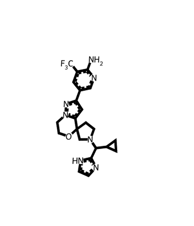 Nc1ncc(-c2cc3n(n2)CCOC32CCN(C(c3ncc[nH]3)C3CC3)C2)cc1C(F)(F)F